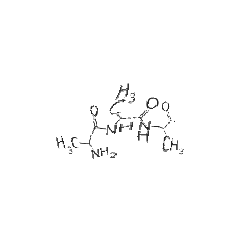 CC([C]=O)NC(=O)C(C)NC(=O)C(C)N